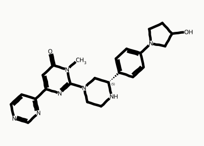 Cn1c(N2CCN[C@@H](c3ccc(N4CCC(O)C4)cc3)C2)nc(-c2ccncn2)cc1=O